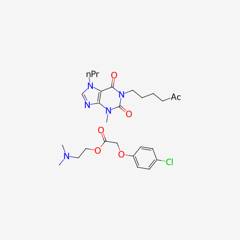 CCCn1cnc2c1c(=O)n(CCCCC(C)=O)c(=O)n2C.CN(C)CCOC(=O)COc1ccc(Cl)cc1